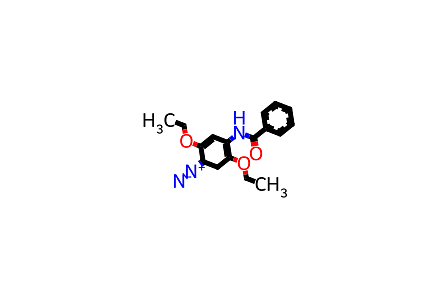 CCOC1=CC(NC(=O)c2ccccc2)=C(OCC)CC1=[N+]=[N-]